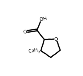 O=C(O)C1CCCO1.[CaH2]